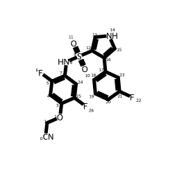 N#CCOc1cc(F)c(NS(=O)(=O)c2c[nH]cc2-c2cccc(F)c2)cc1F